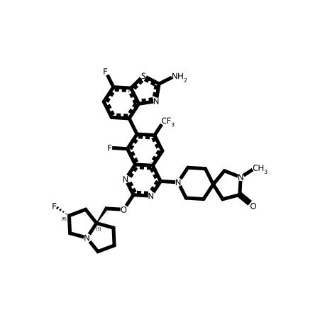 CN1CC2(CCN(c3nc(OC[C@@]45CCCN4C[C@H](F)C5)nc4c(F)c(-c5ccc(F)c6sc(N)nc56)c(C(F)(F)F)cc34)CC2)CC1=O